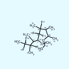 COC(C(C)C(C)(F)C(C)(F)F)C(F)(F)C(C)(F)C(C)C(C)OCO